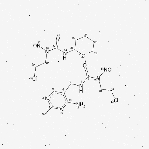 Cc1ncc(CNC(=O)N(CCCl)N=O)c(N)n1.O=NN(CCCl)C(=O)NC1CCCCC1